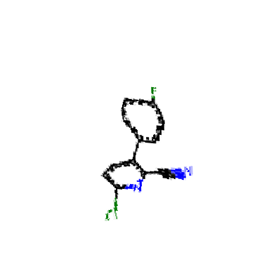 N#Cc1nc(Cl)ccc1-c1ccc(F)cc1